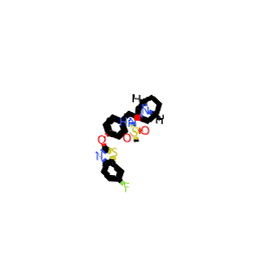 CS(=O)(=O)NC1C[C@H]2CC[C@@H](C1)N2CCc1ccc(Oc2nc3ccc(F)cc3s2)cc1